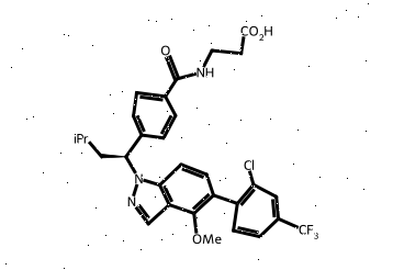 COc1c(-c2ccc(C(F)(F)F)cc2Cl)ccc2c1cnn2[C@@H](CC(C)C)c1ccc(C(=O)NCCC(=O)O)cc1